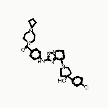 O=C(c1ccc(Nc2nc3c(N4CCC(O)(c5ccc(Cl)cc5)CC4)cccn3n2)cc1)N1CCN(C2CCC2)CC1